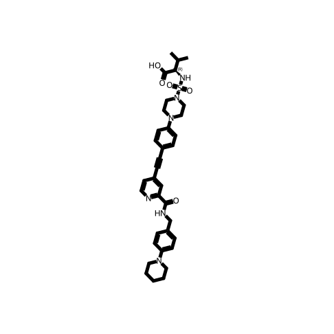 CC(C)[C@@H](NS(=O)(=O)N1CCN(c2ccc(C#Cc3ccnc(C(=O)NCc4ccc(N5CCCCC5)cc4)c3)cc2)CC1)C(=O)O